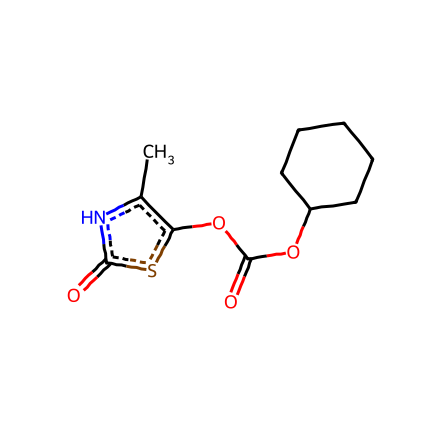 Cc1[nH]c(=O)sc1OC(=O)OC1CCCCC1